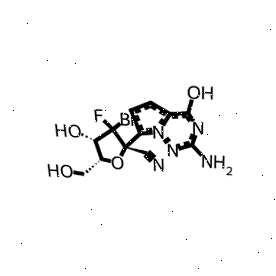 N#C[C@@]1(c2ccc3c(O)nc(N)nn23)O[C@H](CO)[C@H](O)C1(F)Br